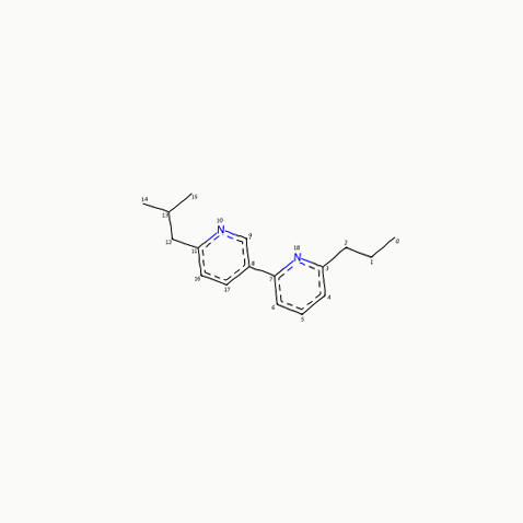 CCCc1cccc(-c2[c]nc(CC(C)C)cc2)n1